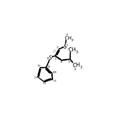 CS/C=C(\CC(C)C)Sc1ccccc1